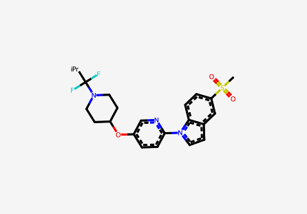 CC(C)C(F)(F)N1CCC(Oc2ccc(-n3ccc4cc(S(C)(=O)=O)ccc43)nc2)CC1